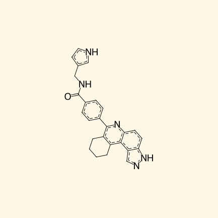 O=C(NCc1cc[nH]c1)c1ccc(-c2nc3ccc4[nH]ncc4c3c3c2CCCC3)cc1